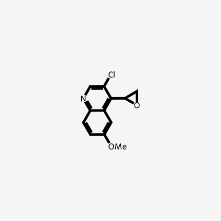 COc1ccc2ncc(Cl)c(C3CO3)c2c1